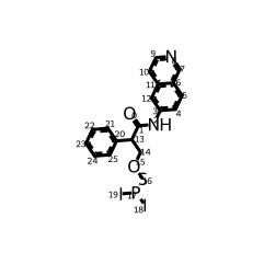 O=C(Nc1ccc2cnccc2c1)C(COSP(I)I)c1ccccc1